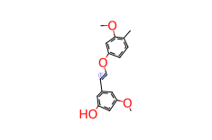 COc1cc(O)cc(/C=C/Oc2ccc(C)c(OC)c2)c1